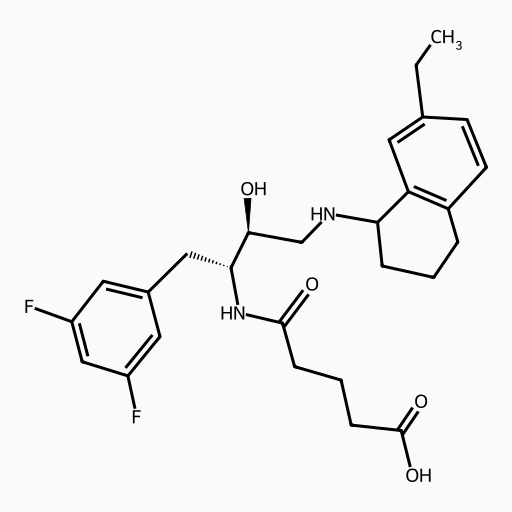 CCc1ccc2c(c1)C(NC[C@H](O)[C@@H](Cc1cc(F)cc(F)c1)NC(=O)CCCC(=O)O)CCC2